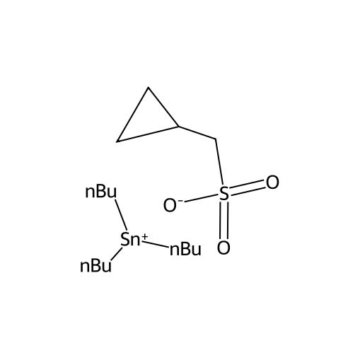 CCC[CH2][Sn+]([CH2]CCC)[CH2]CCC.O=S(=O)([O-])CC1CC1